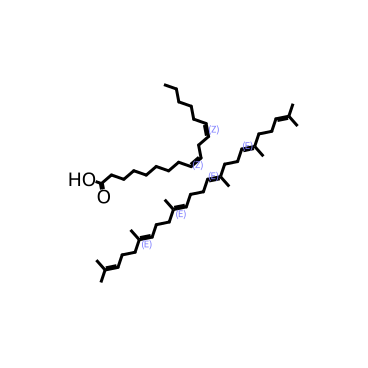 CC(C)=CCC/C(C)=C/CC/C(C)=C/CC/C=C(\C)CC/C=C(\C)CCC=C(C)C.CCCCC/C=C\C/C=C\CCCCCCCC(=O)O